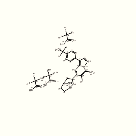 CC(C)(O)c1ccc(-c2cnn3c(N)c(I)c(C4CC5CCC(C4)N5)nc23)cn1.O=C(O)C(F)(F)F.O=C(O)C(F)(F)F.O=C(O)C(F)(F)F